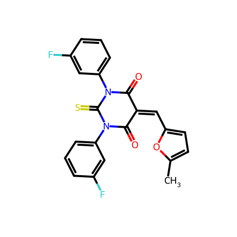 Cc1ccc(C=C2C(=O)N(c3cccc(F)c3)C(=S)N(c3cccc(F)c3)C2=O)o1